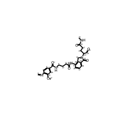 C=Nc1ccc(C(=O)NCCCC(=O)Nc2cccc3c2CN(C(C=O)CCC(=O)NC)C3=O)cc1OC